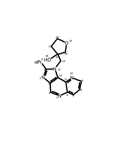 CCCc1nc2cnc3cccnc3c2n1CC1(O)CCOC1